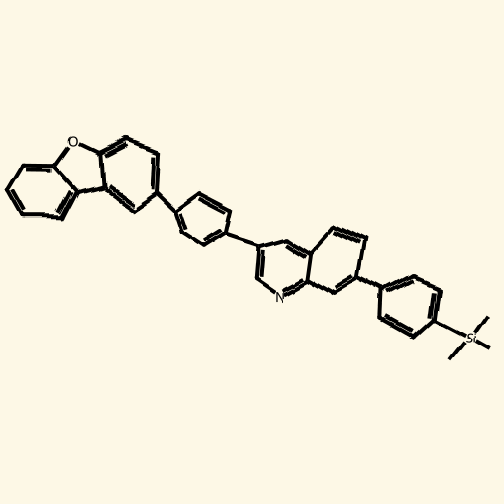 C[Si](C)(C)c1ccc(-c2ccc3cc(-c4ccc(-c5ccc6oc7ccccc7c6c5)cc4)cnc3c2)cc1